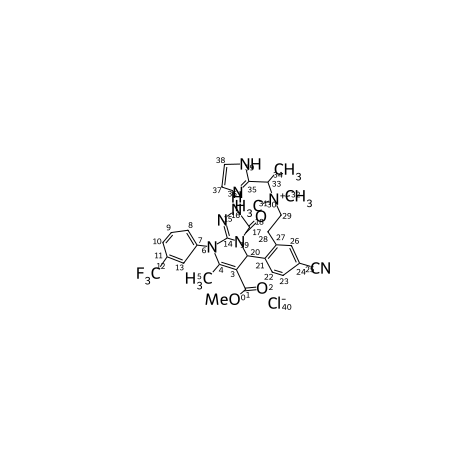 COC(=O)C1=C(C)N(c2cccc(C(F)(F)F)c2)c2n[nH]c(=O)n2C1c1ccc(C#N)cc1CC[N+](C)(C)C(C)c1ncc[nH]1.[Cl-]